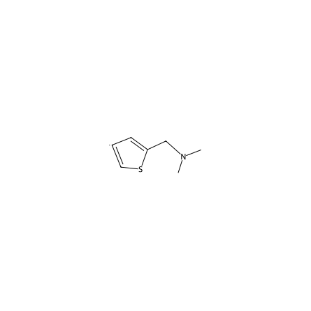 CN(C)Cc1c[c]cs1